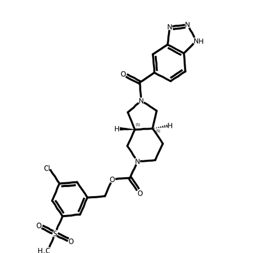 CS(=O)(=O)c1cc(Cl)cc(COC(=O)N2CC[C@@H]3CN(C(=O)c4ccc5[nH]nnc5c4)C[C@H]3C2)c1